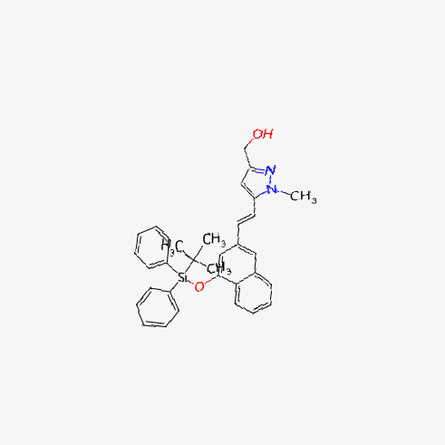 Cn1nc(CO)cc1C=Cc1cc(O[Si](c2ccccc2)(c2ccccc2)C(C)(C)C)c2ccccc2c1